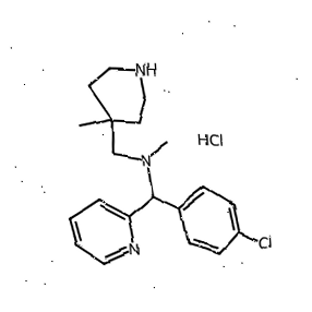 CN(CC1(C)CCNCC1)C(c1ccc(Cl)cc1)c1ccccn1.Cl